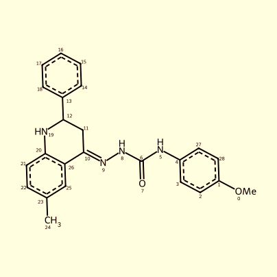 COc1ccc(NC(=O)NN=C2CC(c3ccccc3)Nc3ccc(C)cc32)cc1